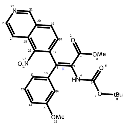 COC(=O)/C(NC(=O)OC(C)(C)C)=C(/c1cccc(OC)c1)c1ccc2cnccc2c1[N+](=O)[O-]